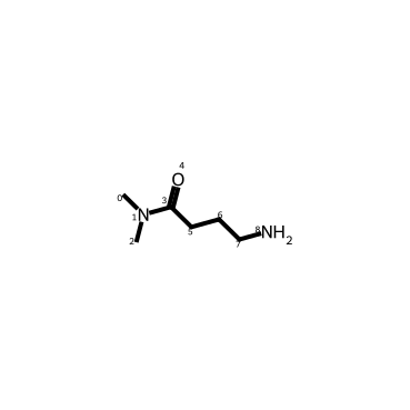 CN(C)C(=O)CCCN